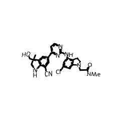 CNC(=O)CN1CCc2c(Nc3nccc(-c4cc(C#N)c5c(c4)C(C)(CO)CN5)n3)cc(Cl)cc21